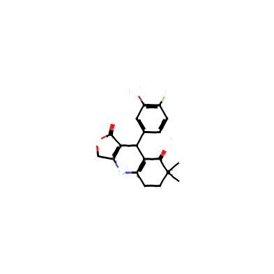 CC1(C)CCC2=C(C1=O)C(c1ccc(F)c(Br)c1)C1=C(COC1=O)N2